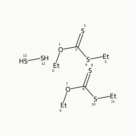 CCOC(=S)SCC.CCOC(=S)SCC.SS